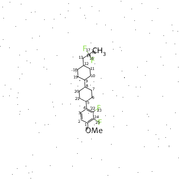 COc1ccc(C2CCC(C3CCC(CC(C)(F)F)CC3)CC2)c(F)c1F